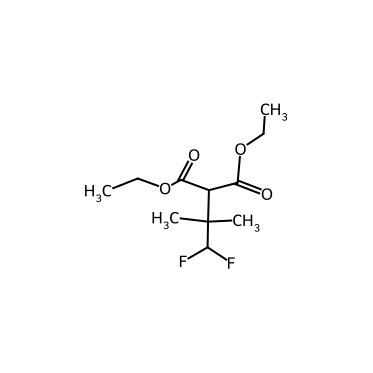 CCOC(=O)C(C(=O)OCC)C(C)(C)C(F)F